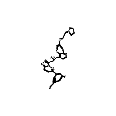 Fc1cc(F)cc(-c2ccc3nnc(CNc4ccnc5cc(OCCN6CCCC6)cnc45)n3n2)c1